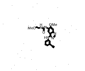 C#Cc1cccc(Nc2ncnc3cc(OC)c(NC(=O)NCCOC)cc23)c1